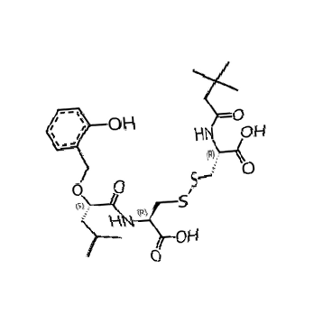 CC(C)C[C@H](OCc1ccccc1O)C(=O)N[C@@H](CSSC[C@H](NC(=O)CC(C)(C)C)C(=O)O)C(=O)O